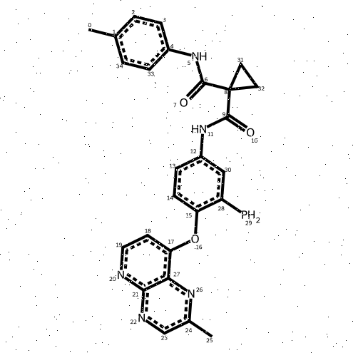 Cc1ccc(NC(=O)C2(C(=O)Nc3ccc(Oc4ccnc5ncc(C)nc45)c(P)c3)CC2)cc1